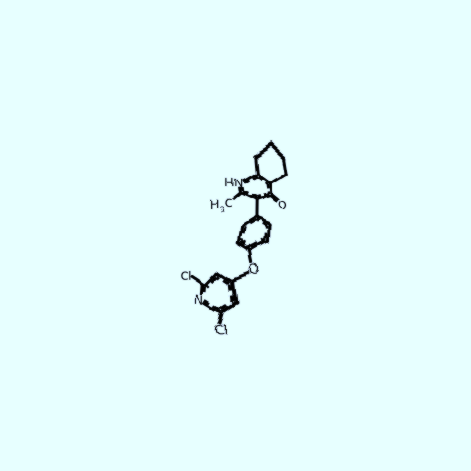 Cc1[nH]c2c(c(=O)c1-c1ccc(Oc3cc(Cl)nc(Cl)c3)cc1)CCCC2